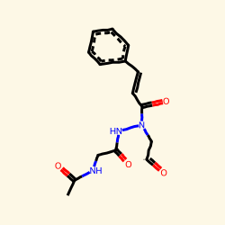 CC(=O)NCC(=O)NN(C[C]=O)C(=O)C=Cc1ccccc1